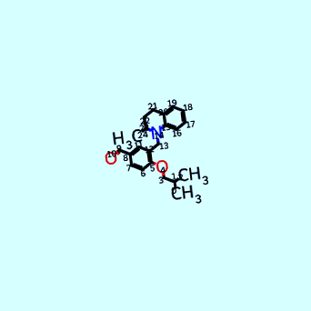 CC(C)COc1ccc(C=O)cc1CN1c2ccccc2CCC1C